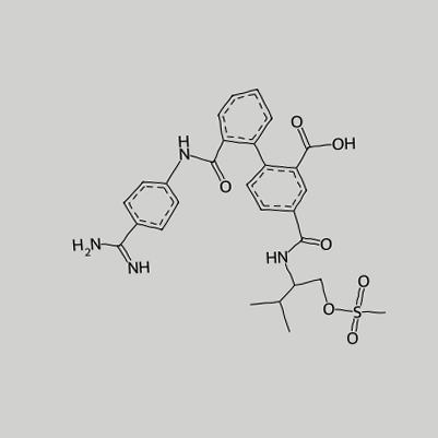 CC(C)C(COS(C)(=O)=O)NC(=O)c1ccc(-c2ccccc2C(=O)Nc2ccc(C(=N)N)cc2)c(C(=O)O)c1